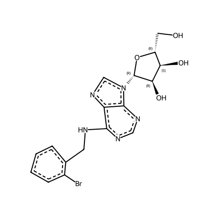 OC[C@H]1O[C@@H](n2cnc3c(NCc4ccccc4Br)ncnc32)[C@H](O)[C@@H]1O